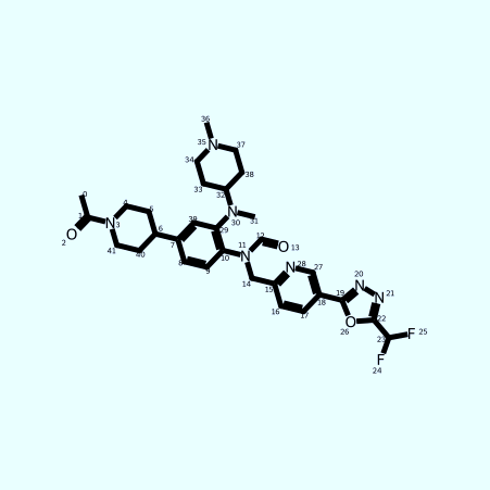 CC(=O)N1CCC(c2ccc(N(C=O)Cc3ccc(-c4nnc(C(F)F)o4)cn3)c(N(C)C3CCN(C)CC3)c2)CC1